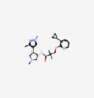 Cc1nn(C)cc1[C@@H]1CN(C)C[C@H]1NC(=O)C(C)(C)COc1ncccc1C1CC1